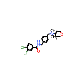 C[N+](C)(Cc1ccc(CNC(=O)c2ccc(Cl)c(Cl)c2)cc1)C1CCOCC1